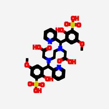 COc1cc(C(c2ccccn2)N(CCN(CC(=O)O)C(c2ccccn2)c2cc(OC)cc(S(=O)(=O)O)c2O)CC(=O)O)c(O)c(S(=O)(=O)O)c1